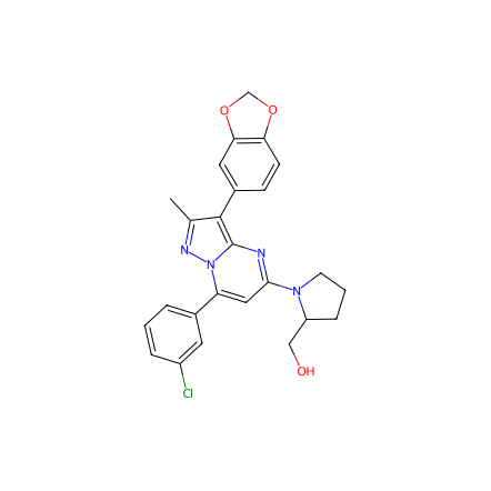 Cc1nn2c(-c3cccc(Cl)c3)cc(N3CCCC3CO)nc2c1-c1ccc2c(c1)OCO2